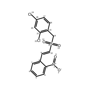 O=[N+]([O-])c1ccccc1/C=C/S(=O)(=O)Cc1ccc(Cl)cc1Cl